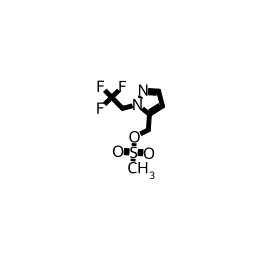 CS(=O)(=O)OCc1ccnn1CC(F)(F)F